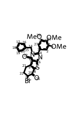 COc1cc(-c2nc3sc4c(c3c(=O)n2Cc2ccccc2)CCC(Br)C4=O)cc(OC)c1OC